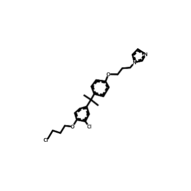 CC(C)(c1ccc(OCCCn2ccnc2)cc1)c1ccc(OCCCCl)c(Cl)c1